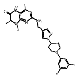 Cc1nc(NCc2cnn(C3CCN(c4cc(F)cc(F)c4)CC3)c2)nc2c1NC(=O)[C@H](C)N2C